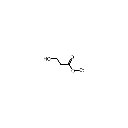 CCOC(=O)CCO